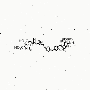 CCCCCNc1nc(N)nc2ccn(Cc3ccc(CN4CCN(CCn5cc(CNC(=O)CC(SC[C@H](N)C(=O)O)C(=O)O)nn5)CC4)cc3C)c12